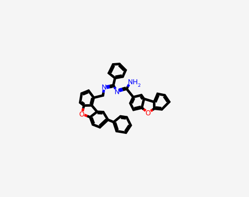 N/C(=N\C(=N/Cc1cccc2oc3ccc(-c4ccccc4)cc3c12)c1ccccc1)c1ccc2oc3ccccc3c2c1